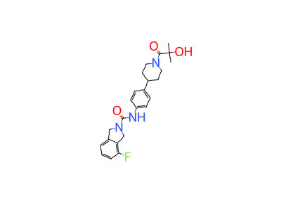 CC(C)(O)C(=O)N1CCC(c2ccc(NC(=O)N3Cc4cccc(F)c4C3)cc2)CC1